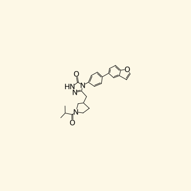 CC(C)C(=O)N1CCC(Cc2n[nH]c(=O)n2-c2ccc(-c3ccc4occc4c3)cc2)C1